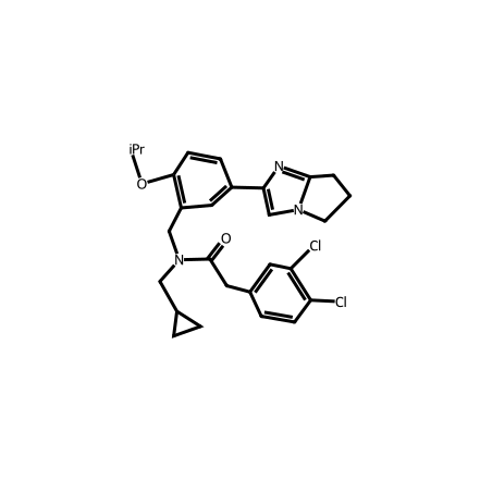 CC(C)Oc1ccc(-c2cn3c(n2)CCC3)cc1CN(CC1CC1)C(=O)Cc1ccc(Cl)c(Cl)c1